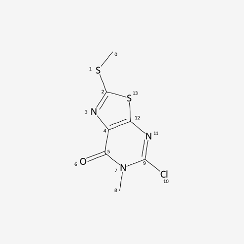 CSc1nc2c(=O)n(C)c(Cl)nc2s1